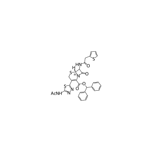 CC(=O)Nc1nnc(C2=C(C(=O)OC(c3ccccc3)c3ccccc3)N3C(=O)C(NC(=O)Cc4cccs4)[C@H]3SC2)s1